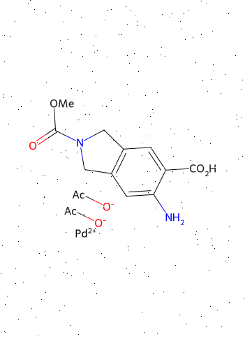 CC(=O)[O-].CC(=O)[O-].COC(=O)N1Cc2cc(N)c(C(=O)O)cc2C1.[Pd+2]